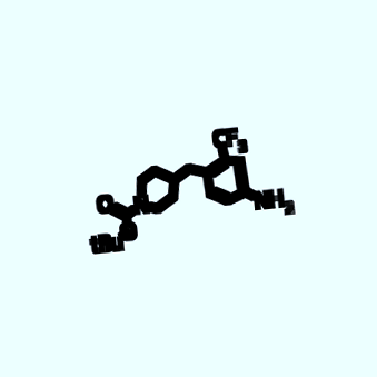 CC(C)(C)OC(=O)N1CCC(Cc2ccc(N)cc2C(F)(F)F)CC1